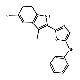 Cc1c(-c2nnc(Nc3ccccc3)o2)[nH]c2ccc(Cl)cc12